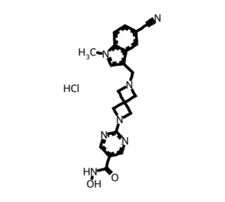 Cl.Cn1cc(CN2CC3(C2)CN(c2ncc(C(=O)NO)cn2)C3)c2cc(C#N)ccc21